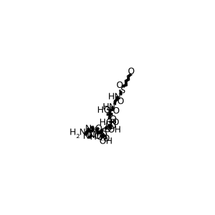 CC(C)(COP(=O)(O)OP(=O)(O)OC[C@H]1O[C@@H](n2cnc3c(N)ncnc32)[C@H](O)[C@@H]1OP(=O)(O)O)[C@@H](O)C(=O)NCCC(=O)NCCSC(=O)CCCCC=O